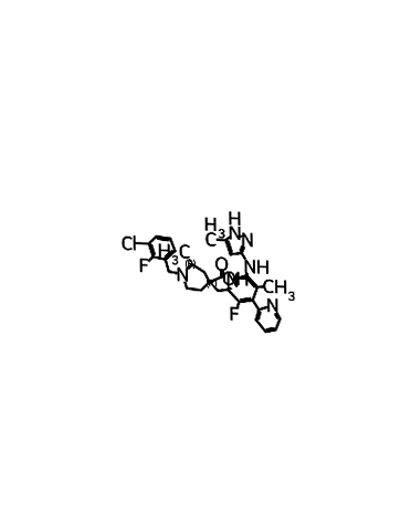 Cc1cc(Nc2nc(C[C@@]3(C(=O)O)CCN(Cc4cccc(Cl)c4F)[C@H](C)C3)c(F)c(-c3ccccn3)c2C)n[nH]1